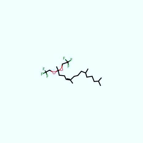 C/C(=C/CCC(C)(OCC(F)(F)F)OCC(F)(F)F)CCCC(C)CCCC(C)C